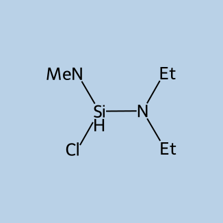 CCN(CC)[SiH](Cl)NC